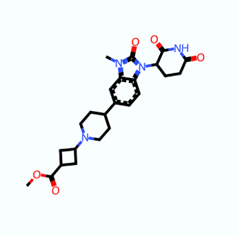 COC(=O)C1CC(N2CCC(c3ccc4c(c3)n(C)c(=O)n4C3CCC(=O)NC3=O)CC2)C1